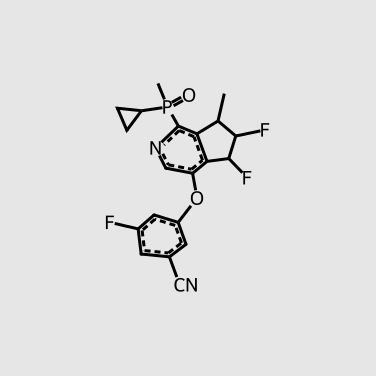 CC1c2c(P(C)(=O)C3CC3)ncc(Oc3cc(F)cc(C#N)c3)c2C(F)C1F